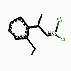 CCc1ccccc1C(C)C[SiH](Cl)Cl